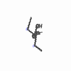 CCCCCCCC/C=C\CCCCCCCC(=O)CC(C[N+](C)(C)CCCCCO)C(=O)CCCCCCC/C=C\CCCCCCCC.[Br-]